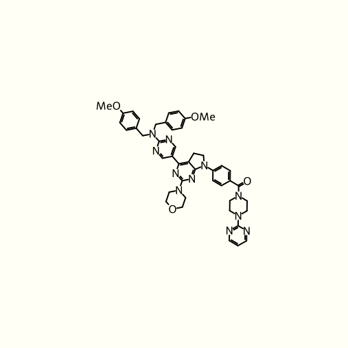 COc1ccc(CN(Cc2ccc(OC)cc2)c2ncc(-c3nc(N4CCOCC4)nc4c3CCN4c3ccc(C(=O)N4CCN(c5ncccn5)CC4)cc3)cn2)cc1